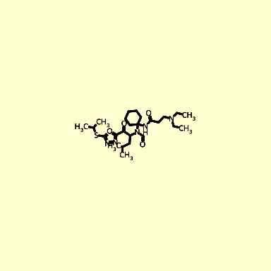 CCN(CC)CCC(=O)NC1(N(C=O)C(CC(C)C)C(=O)c2nnc(SC(C)C)o2)CCCCC1